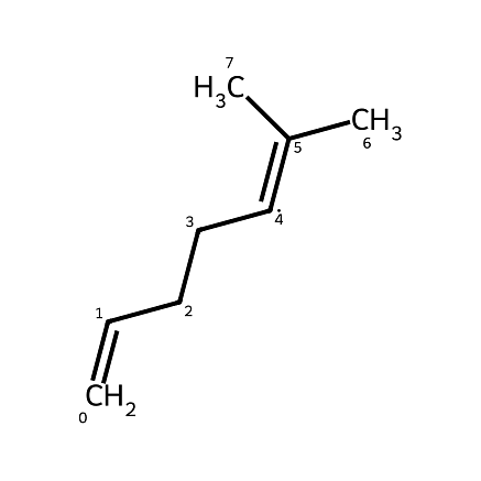 C=CCC[C]=C(C)C